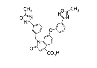 Cc1nc(-c2cccc(Cn3c(=O)cc(C(=O)O)c4ccc(Oc5cccc(-c6noc(C)n6)c5)cc43)c2)no1